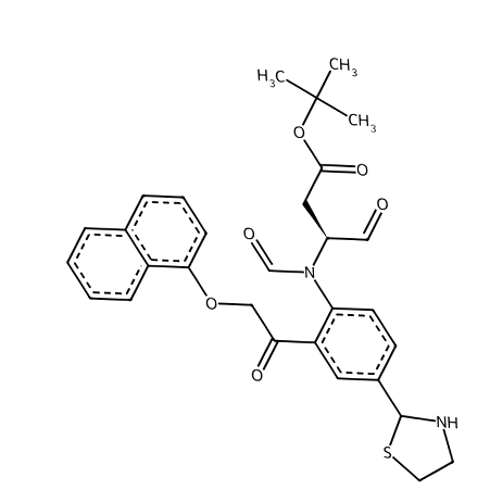 CC(C)(C)OC(=O)C[C@@H](C=O)N(C=O)c1ccc(C2NCCS2)cc1C(=O)COc1cccc2ccccc12